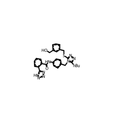 CCCCc1nnc(SCc2cccc(CO)c2)n1Cc1ccc(NC(=O)c2ccccc2-c2nnn[nH]2)cc1